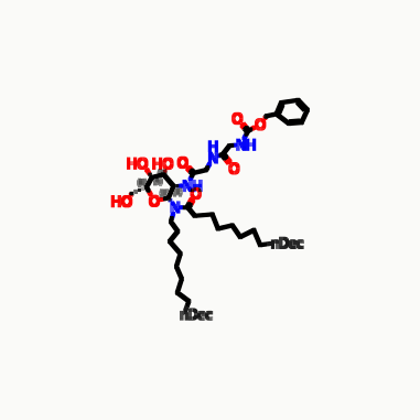 CCCCCCCCCCCCCCCCCCN(C(=O)CCCCCCCCCCCCCCCCC)[C@@H]1O[C@H](CO)[C@@H](O)[C@H](O)[C@H]1NC(=O)CNC(=O)CNC(=O)OCc1ccccc1